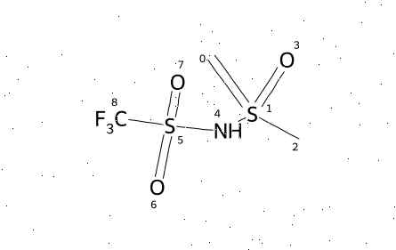 C=S(C)(=O)NS(=O)(=O)C(F)(F)F